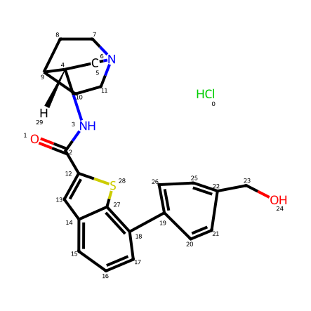 Cl.O=C(N[C@H]1CN2CCC1CC2)c1cc2cccc(-c3ccc(CO)cc3)c2s1